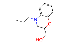 CCCN1CC(CO)Oc2ccccc21